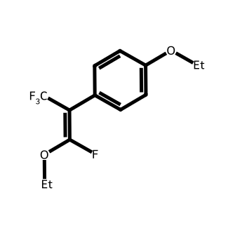 CCOC(F)=C(c1ccc(OCC)cc1)C(F)(F)F